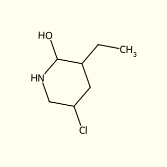 CCC1CC(Cl)CNC1O